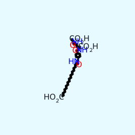 O=C(O)CCCCCCCCCCCCCCCCCCC(=O)NC[C@H]1CC[C@H](C(=O)NC(CCC(=O)NCC(=O)O)C(=O)O)CC1